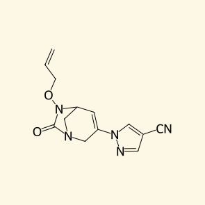 C=CCON1C(=O)N2CC(n3cc(C#N)cn3)=CC1C2